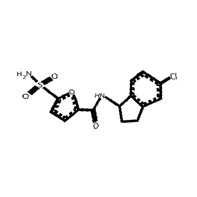 NS(=O)(=O)c1ccc(C(=O)NC2CCc3cc(Cl)ccc32)o1